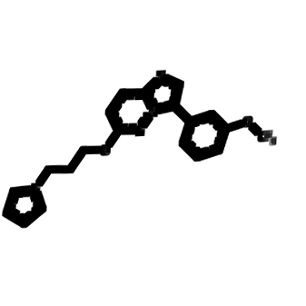 FC(F)(F)Oc1cccc(-c2cnc3ccc(OCCCn4cccc4)nn23)c1